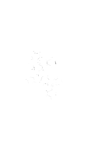 c1ccc(-c2nc(-n3c4ccccc4c4cc5c(cc43)c3ccccc3n5-c3ccccc3)nc3sc4ccccc4c23)cc1